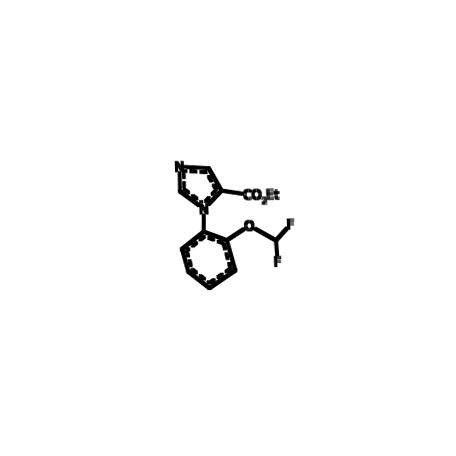 CCOC(=O)c1cncn1-c1ccccc1OC(F)F